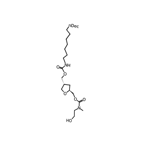 CCCCCCCCCCCCCCCCCNC(=O)OC[C@H]1CO[C@H](COC(=O)N(C)CCO)C1